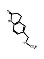 O=C(O)NCc1ccc2c(c1)CCC(=O)N2